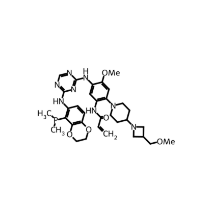 C=CC(=O)Nc1cc(Nc2ncnc(Nc3ccc4c(c3P(C)C)OCCO4)n2)c(OC)cc1N1CCC(N2CC(COC)C2)CC1